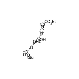 CCOC(=O)c1cnn(C2CCN(CCOCCOCCOCCNC(=O)OC(C)(C)C)CC2)c1.O=CO